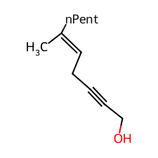 CCCCCC(C)=CCC#CCO